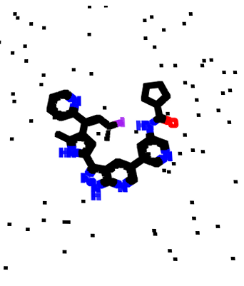 Cc1[nH]c(-c2n[nH]c3ncc(-c4cncc(NC(=O)C5CCCC5)c4)cc23)cc1/C(=C\[C@@H](C)I)c1ccccn1